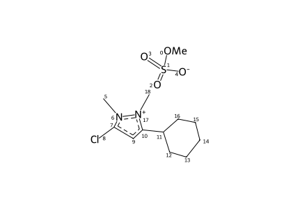 COS(=O)(=O)[O-].Cn1c(Cl)cc(C2CCCCC2)[n+]1C